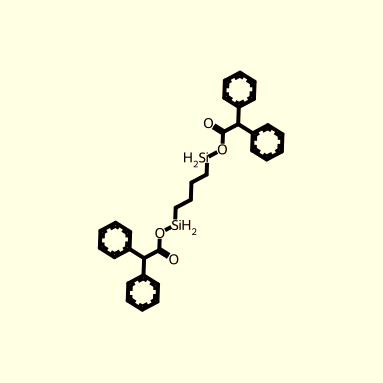 O=C(O[SiH2]CCCC[SiH2]OC(=O)C(c1ccccc1)c1ccccc1)C(c1ccccc1)c1ccccc1